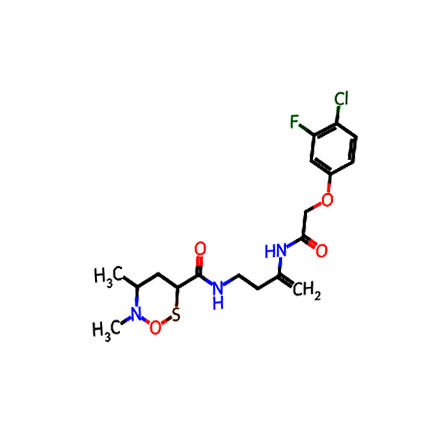 C=C(CCNC(=O)C1CC(C)N(C)OS1)NC(=O)COc1ccc(Cl)c(F)c1